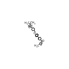 CC(C)c1noc(N2CCC(COc3ccc(C4=CCC(C(=O)N5CC[C@H](C)C5)CC4)cc3)CC2)n1